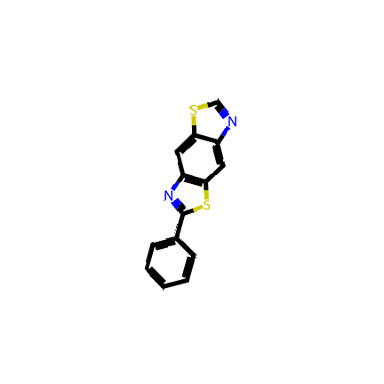 [c]1ccc(-c2nc3cc4s[c]nc4cc3s2)cc1